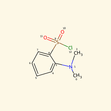 CN(C)c1ccccc1S(=O)(=O)Cl